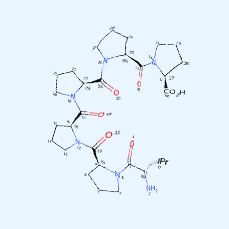 CC(C)[C@H](N)C(=O)N1CCC[C@H]1C(=O)N1CCC[C@H]1C(=O)N1CCC[C@H]1C(=O)N1CCC[C@H]1C(=O)N1CCC[C@H]1C(=O)O